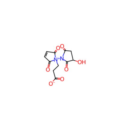 O=C([O-])CC[N+]1(N2C(=O)CC(O)C2=O)C(=O)C=CC1=O